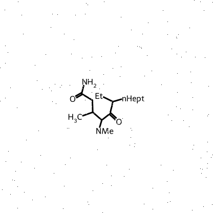 CCCCCCCC(CC)C(=O)C(NC)C(C)CC(N)=O